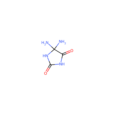 NC1(N)NC(=O)NC1=O